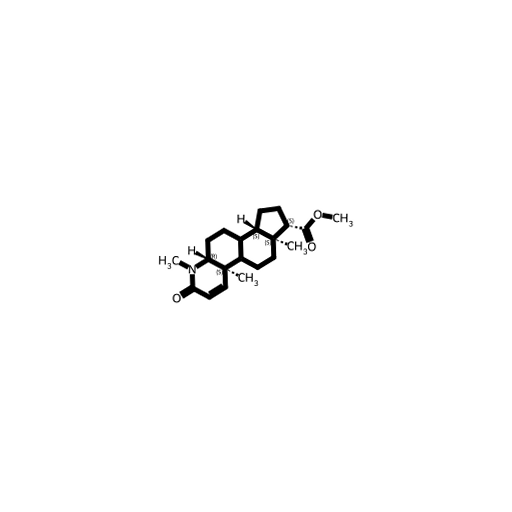 COC(=O)[C@H]1CC[C@H]2C3CC[C@H]4N(C)C(=O)C=C[C@]4(C)C3CC[C@]12C